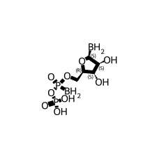 B[C@@H]1O[C@H](COP(B)(=O)OP(=O)(O)O)[C@@H](O)[C@H]1O